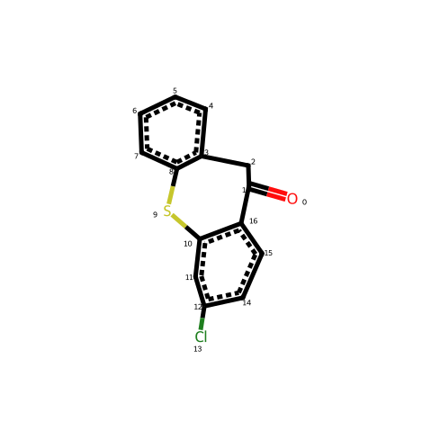 O=C1Cc2ccccc2Sc2cc(Cl)ccc21